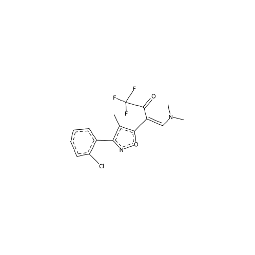 Cc1c(-c2ccccc2Cl)noc1/C(=C/N(C)C)C(=O)C(F)(F)F